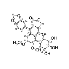 COc1cc2c(OC3OC[C@@H](O)[C@H](O)[C@H]3O)c3c(c(-c4ccc5c(c4)OCO5)c2cc1OC)C(=O)OC3